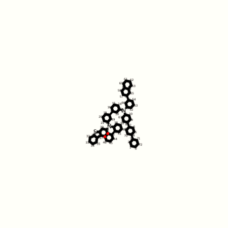 c1ccc(-c2ccc(-c3ccc(N(c4cccc(-c5cccc(N(c6ccc7c(c6)sc6ccccc67)c6ccccc6-c6ccccc6)c5)c4)c4cccc(-c5ccc6ccccc6c5)c4)cc3)cc2)cc1